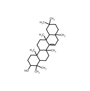 CC1(C)CCC2(C)CC=C3C(C)(CCC4C3(C)CCC3C(C)(C)C(O)CCC43C)C2C1